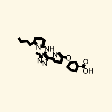 CCCCc1cccc(Nc2c(-c3ccc(O[C@H]4CCC[C@H](C(=O)O)C4)cn3)nnn2C)n1